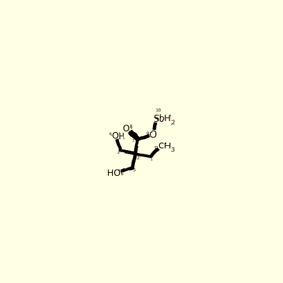 CCC(CO)(CO)C(=O)[O][SbH2]